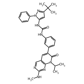 CNc1ncc2cc(-c3cccc(NC(=O)Nc4cc(C(C)(C)C)nn4-c4ccccc4)c3)c(=O)n(C(C)C)c2n1